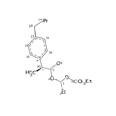 CCOC(=O)OC(CC)OC(=O)[C@@H](C)c1ccc(CC(C)C)cc1